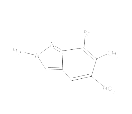 Cc1c([N+](=O)[O-])cc2cn(C)nc2c1Br